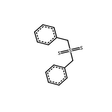 S=S(=S)(Cc1ccccc1)Cc1ccccc1